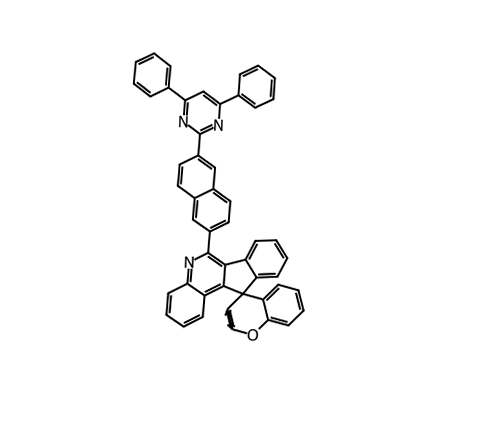 c1ccc(-c2cc(-c3ccccc3)nc(-c3ccc4cc(-c5nc6ccccc6c6c5-c5ccccc5C65c6ccccc6Oc6ccccc65)ccc4c3)n2)cc1